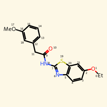 CCOc1ccc2nc(NC(=O)Cc3cccc(OC)c3)sc2c1